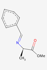 COC(=O)[C@@H](C)N=Cc1ccccc1